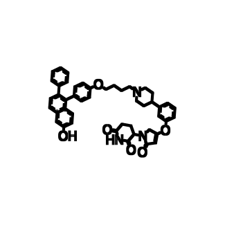 O=C1CCC(N2CC(Oc3cccc(C4CCN(CCCCOc5ccc(-c6c(-c7ccccc7)ccc7cc(O)ccc67)cc5)CC4)c3)=CC2=O)C(=O)N1